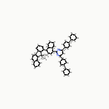 CC1(C)c2c(cccc2-c2ccc(-c3nc(-c4ccc(-c5ccccc5)cc4)cc(-c4ccc(-c5ccccc5)cc4)n3)c3ccccc23)-c2ccc3ccccc3c21